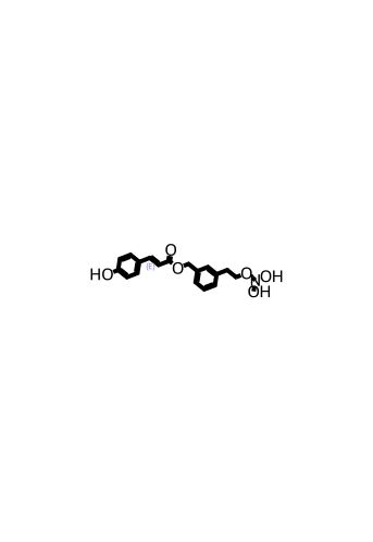 O=C(/C=C/c1ccc(O)cc1)OCc1cccc(CCON(O)O)c1